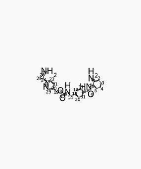 Nc1ccccc1NC(=O)c1ccc(CNC(=O)OCc2ccc(C3CC3N)nc2)cc1